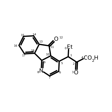 CCC(C(=O)C(=O)O)c1ccnc2c1C(=O)c1ccccc1-2